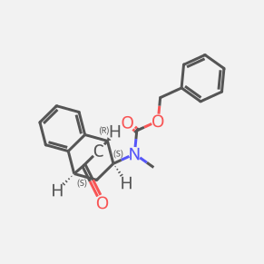 CN(C(=O)OCc1ccccc1)[C@H]1C[C@@H]2C(=O)C[C@@H]1c1ccccc12